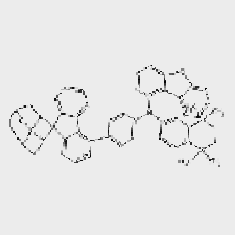 CC1(C)CCC(C)(C)c2cc(N(c3ccc(-c4cccc5c4-c4ccccc4C54C5CC6CC7CC4C75C6)cc3)c3cccc4oc5ccccc5c34)ccc21